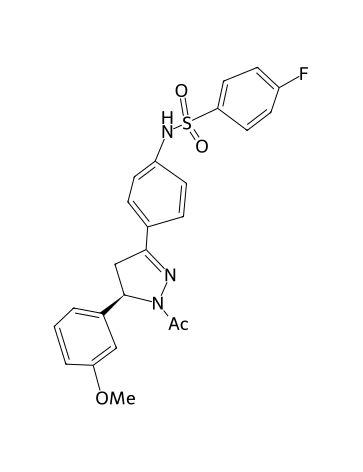 COc1cccc([C@H]2CC(c3ccc(NS(=O)(=O)c4ccc(F)cc4)cc3)=NN2C(C)=O)c1